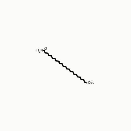 CCCCCCCCCCCCCCCCCCCCCCCCC=CCCCCCCCC(N)=O